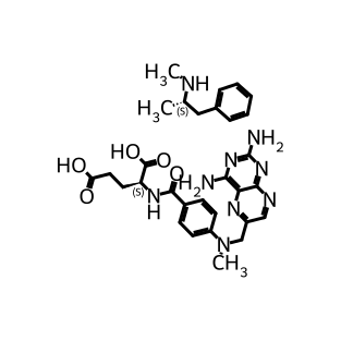 CN(Cc1cnc2nc(N)nc(N)c2n1)c1ccc(C(=O)N[C@@H](CCC(=O)O)C(=O)O)cc1.CN[C@@H](C)Cc1ccccc1